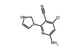 N#Cc1c(Cl)cc(N)nc1N1C=CNC1